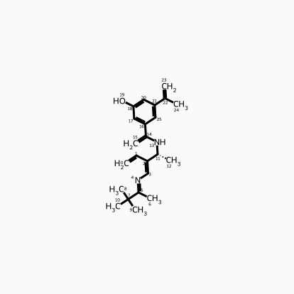 C=C/C(=C\N=C(/C)C(C)(C)C)[C@@H](C)NC(=C)c1cc(O)cc(C(=C)C)c1